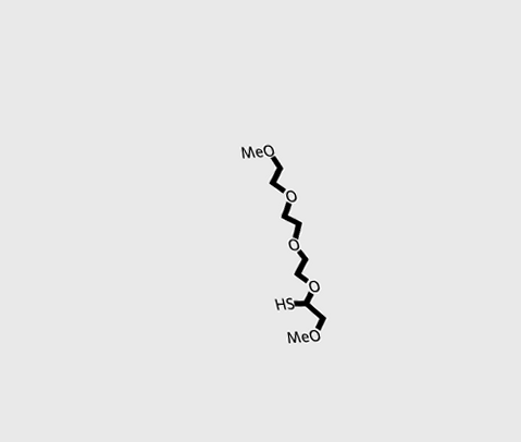 COCCOCCOCCOC(S)COC